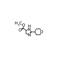 COC(=O)C1CN=C(C2CCOCC2)N1